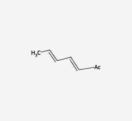 CC=CC=CC(C)=O